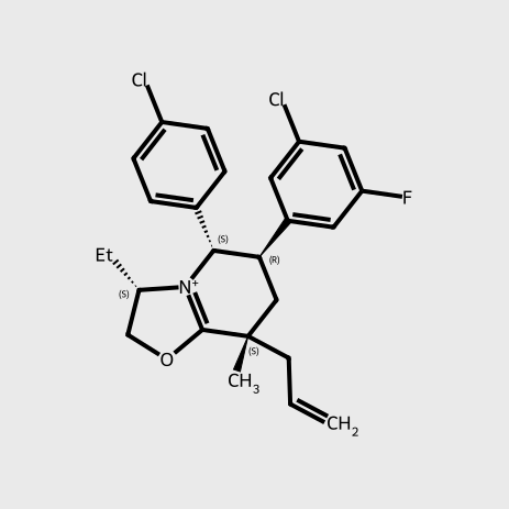 C=CC[C@@]1(C)C[C@H](c2cc(F)cc(Cl)c2)[C@@H](c2ccc(Cl)cc2)[N+]2=C1OC[C@@H]2CC